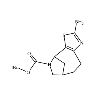 CC(C)(C)OC(=O)N1CC2CCc3nc(N)sc3C1C2